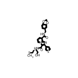 CSCC[C@@H](CO)NC(=O)c1c(-c2ccsc2)nc2c(C(=O)NCc3ccc4c(c3)OCO4)cccn12